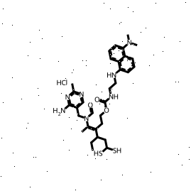 CCC(CC(S)S)C(CCOC(=O)NCCNc1cccc2c(N(C)C)cccc12)=C(C)N(C=O)Cc1cnc(C)nc1N.Cl